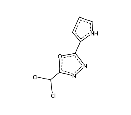 ClC(Cl)c1nnc(-c2ccc[nH]2)o1